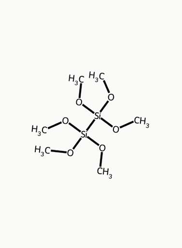 CO[Si](OC)(OC)[Si](OC)(OC)OC